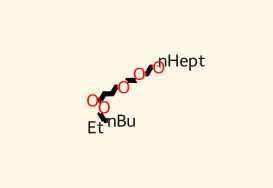 CCCCCCCOCCOCCOCCCC(=O)OCC(CC)CCCC